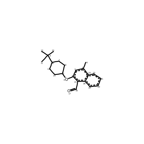 Cc1cc(OC2CCC(C(C)(C)C)CC2)c(C=O)c2ccccc12